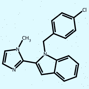 Cn1ccnc1-c1cc2ccccc2n1Cc1ccc(Cl)cc1